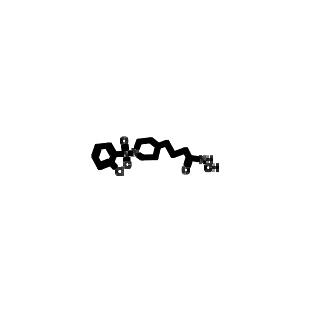 O=C(CCCC1CCN(S(=O)(=O)c2ccccc2Cl)CC1)NO